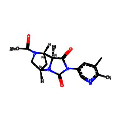 COC(=O)N1C[C@@H]2C[C@H]1[C@H]1C(=O)N(c3cnc(C#N)c(C)c3)C(=O)N21